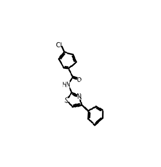 O=C(Nc1nc(-c2ccccc2)cs1)c1ccc(Cl)cc1